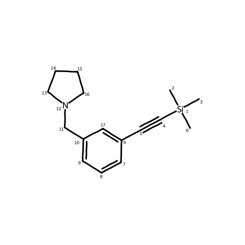 C[Si](C)(C)C#Cc1cccc(CN2CCCC2)c1